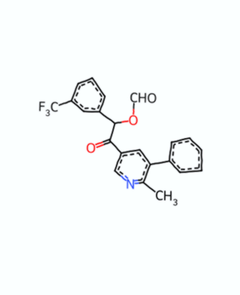 Cc1ncc(C(=O)C(OC=O)c2cccc(C(F)(F)F)c2)cc1-c1ccccc1